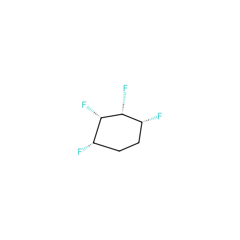 F[C@@H]1[C@H](F)[C@H](F)CC[C@@H]1F